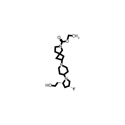 CCOC(=O)N1CCC2(CC(N3CCC(N4C[C@H](F)C[C@@H]4CCO)CC3)C2)C1